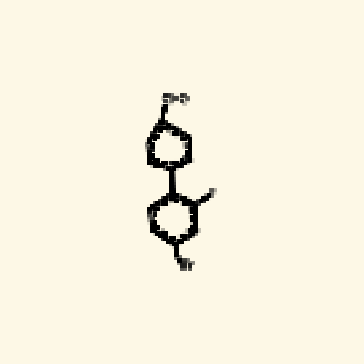 CCCc1ccc(-c2ccc(C=O)cc2)c(F)c1